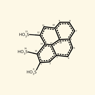 O=S(=O)(O)c1[c]c2ccc3cccc4cc(S(=O)(=O)O)c(c1S(=O)(=O)O)c2c34